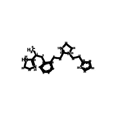 C[C@@H](Cc1ccccc1CCC1=NCCN1CCc1cccs1)C1=NCCN1